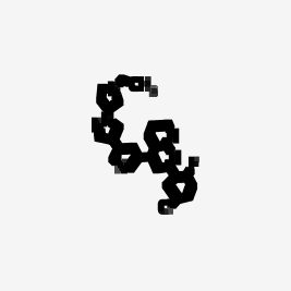 CCN1CCC(n2cc(-c3cncc(-c4cc(-c5cc(Cl)ccc5F)nc5ncccc45)c3)cn2)C1